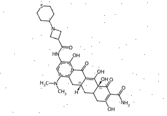 CN(C)c1cc(NC(=O)C2CN(C3CCSCC3)C2)c(O)c2c1C[C@H]1CC3CC(O)=C(C(N)=O)C(=O)[C@@]3(O)C(O)=C1C2=O